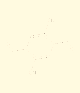 C=Cc1cc(C#N)c(C=C)cc1C#N